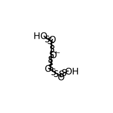 O=C(CCSCSCCC(=O)SCSCCO)SCCSCSCC[S+]([O-])CCCSCSCCC(=O)SCSCCO